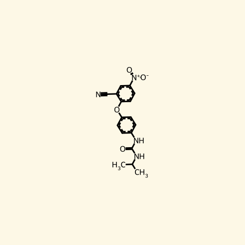 CC(C)NC(=O)Nc1ccc(Oc2ccc([N+](=O)[O-])cc2C#N)cc1